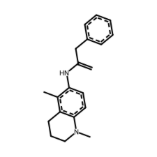 C=C(Cc1ccccc1)Nc1ccc2c(c1C)CCCN2C